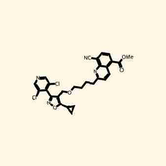 COC(=O)c1ccc(C#N)c2nc(CCCCOCc3c(-c4c(Cl)cncc4Cl)noc3C3CC3)ccc12